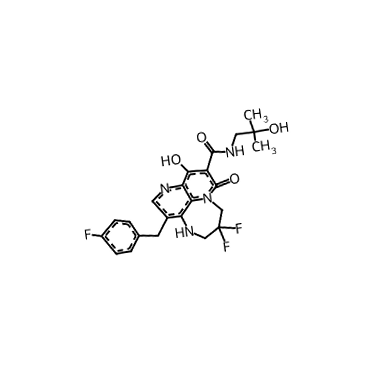 CC(C)(O)CNC(=O)c1c(O)c2ncc(Cc3ccc(F)cc3)c3c2n(c1=O)CC(F)(F)CN3